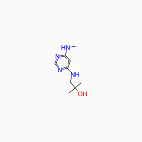 CNc1cc(NCC(C)(C)O)ncn1